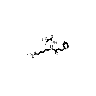 O=C(C=Cc1ccccn1)NCCCCCC(=O)NO.O=C(O)C(=O)O